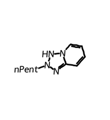 CCCCCN1N=C2C=CC=CN2N1